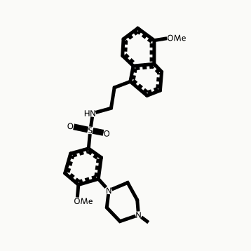 COc1ccc(S(=O)(=O)NCCc2cccc3c(OC)cccc23)cc1N1CCN(C)CC1